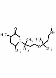 CC(CC(C)C(=O)I)OC(C)(C)CCOC(C)(C)CCNI